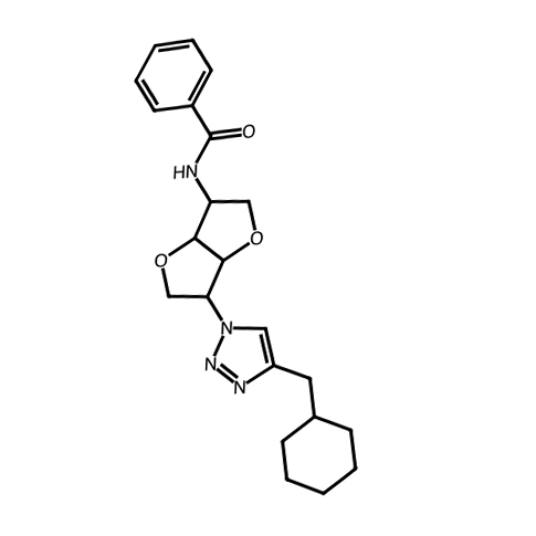 O=C(NC1COC2C1OCC2n1cc(CC2CCCCC2)nn1)c1ccccc1